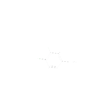 [CH2]Oc1ccc(Cl)c(F)c1